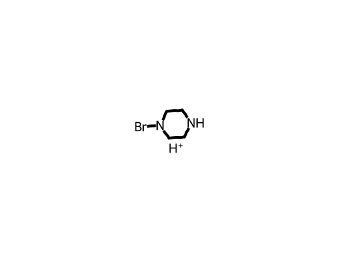 BrN1CCNCC1.[H+]